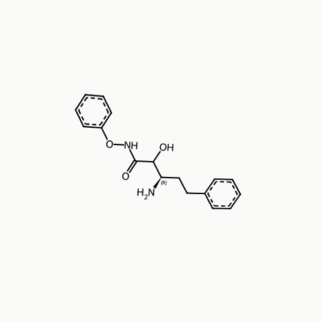 N[C@H](CCc1ccccc1)C(O)C(=O)NOc1ccccc1